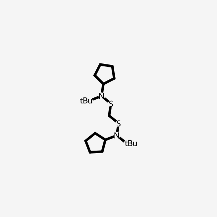 CC(C)(C)N(SCSN(C1CCCC1)C(C)(C)C)C1CCCC1